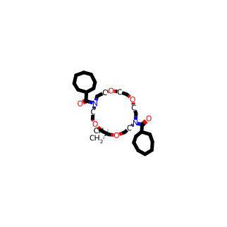 O=C([C]1CCCCCCC1)N1CCOCCOCCN(C(=O)[C]2CCCCCCC2)CCOCCOCC1.[CH2].[CH2]